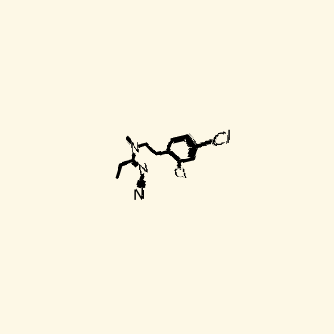 CCC(=NC#N)N(C)CCc1ccc(Cl)cc1Cl